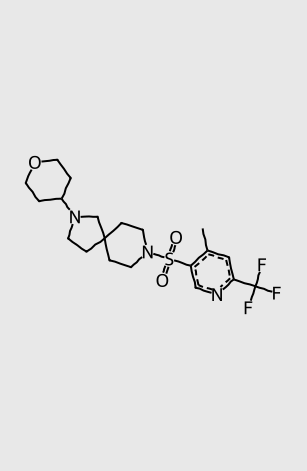 Cc1cc(C(F)(F)F)ncc1S(=O)(=O)N1CCC2(CCN(C3CCOCC3)C2)CC1